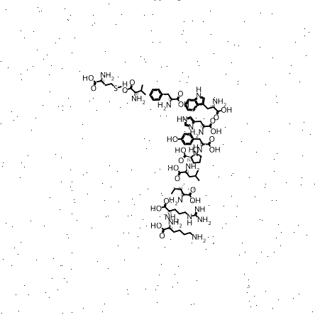 CC(C)C[C@H](N)C(=O)O.CC(C)[C@H](N)C(=O)O.CC[C@H](C)[C@H](N)C(=O)O.CSCC[C@H](N)C(=O)O.N=C(N)NCCC[C@H](N)C(=O)O.NCCCC[C@H](N)C(=O)O.N[C@@H](Cc1c[nH]c2ccccc12)C(=O)O.N[C@@H](Cc1c[nH]cn1)C(=O)O.N[C@@H](Cc1ccc(O)cc1)C(=O)O.N[C@@H](Cc1ccccc1)C(=O)O.O=C(O)[C@@H]1CCCN1